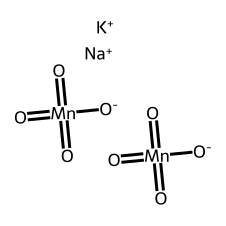 [K+].[Na+].[O]=[Mn](=[O])(=[O])[O-].[O]=[Mn](=[O])(=[O])[O-]